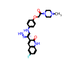 CN1CCN(C(=O)COc2ccc(N/C=C(\N=N)c3cc4cc(F)ccc4[nH]c3=O)cc2)CC1